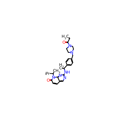 C=CC(=O)N1CCN(Cc2ccc(C(C)Nc3ncc4ccc(=O)n(C(C)C(C)C)c4n3)cc2)CC1